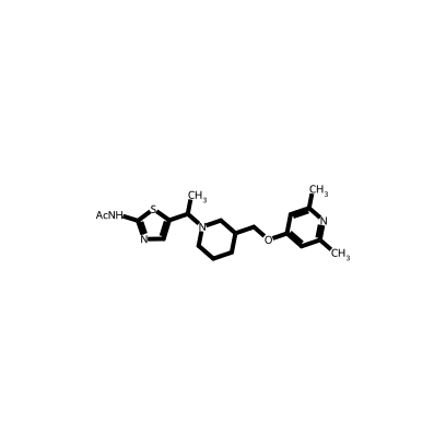 CC(=O)Nc1ncc(C(C)N2CCCC(COc3cc(C)nc(C)c3)C2)s1